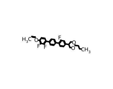 C/C=C\Oc1ccc(-c2ccc(-c3ccc(C4COC(CCC)OC4)cc3F)cc2)c(F)c1F